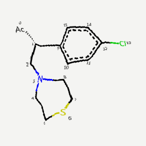 CC(=O)[C@@H](CN1CCSCC1)c1ccc(Cl)cc1